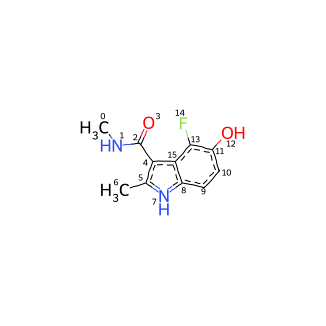 CNC(=O)c1c(C)[nH]c2ccc(O)c(F)c12